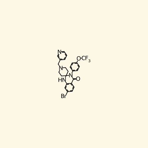 O=C1c2ccc(Br)cc2NC2(CCN(Cc3cccnc3)CC2)N1c1ccc(OC(F)(F)F)cc1